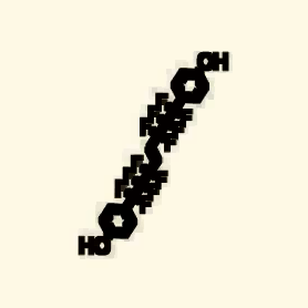 Oc1ccc(C(F)(F)C(F)(F)C(F)(F)C=CC(F)(F)C(F)(F)C(F)(F)c2ccc(O)cc2)cc1